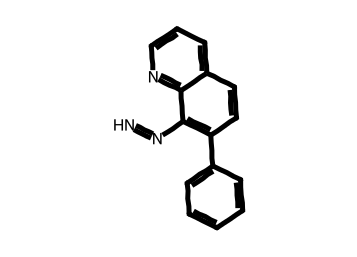 N=Nc1c(-c2ccccc2)ccc2cccnc12